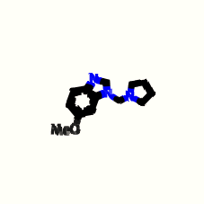 COc1ccc2ncn(CN3CCCC3)c2c1